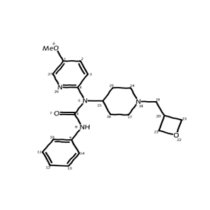 COc1ccc(N(C(=O)Nc2ccccc2)C2CCN(CC3COC3)CC2)nc1